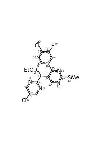 CCOC(=O)C(c1ncc(Cl)cn1)c1cnc(SC)nc1-c1cnc(Cl)c(F)c1